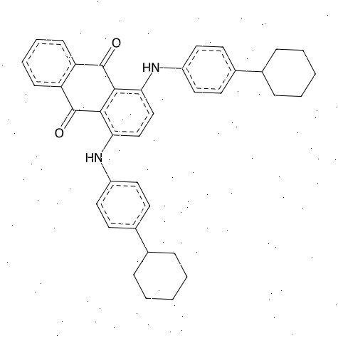 O=C1c2ccccc2C(=O)c2c(Nc3ccc(C4CCCCC4)cc3)ccc(Nc3ccc(C4CCCCC4)cc3)c21